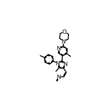 C=N/C=C\c1nc(-c2cnc(N3CCOCC3)cc2C)n(-c2ccc(C)cc2)c1C